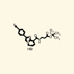 Br.CC(C)(C)OC(=O)CCNC(=O)c1cccn2cc(-c3ccc(C#N)cc3)nc12